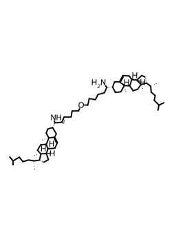 CC(C)CCC[C@@H](C)[C@H]1CC[C@H]2[C@@H]3CC=C4C[C@@H](C(N)CCCCCOCCCCCC(N)[C@H]5CC[C@@]6(C)C(=CC[C@H]7[C@@H]8CC[C@H]([C@H](C)CCCC(C)C)[C@@]8(C)CC[C@@H]76)C5)CC[C@]4(C)[C@H]3CC[C@]12C